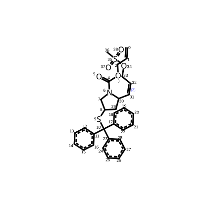 C=CCOC(=O)N1CC(SC(c2ccccc2)(c2ccccc2)c2ccccc2)CC1/C=C\COS(C)(=O)=O